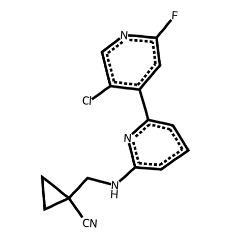 N#CC1(CNc2cccc(-c3cc(F)ncc3Cl)n2)CC1